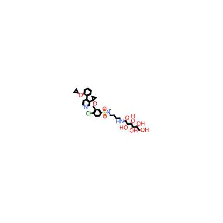 CN(CCCCNC(=O)[C@@H](O)[C@@H](O)[C@H](O)[C@@H](O)CO)S(=O)(=O)c1ccc(Cl)c(COC2(c3cnccc3-c3ccccc3OC3CC3)CC2)c1